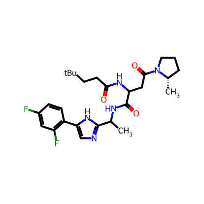 CC(NC(=O)C(CC(=O)N1CCC[C@@H]1C)NC(=O)CCC(C)(C)C)c1ncc(-c2ccc(F)cc2F)[nH]1